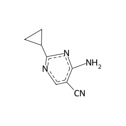 N#Cc1cnc(C2CC2)nc1N